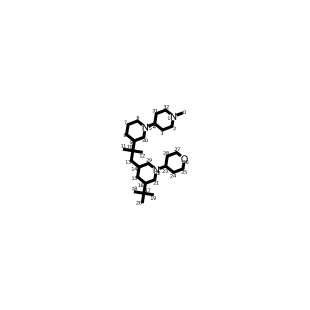 CN1CCC(N2CCCC(C(C)(C)CC3CC(C(C)(C)C)CN(C4CCOCC4)C3)C2)CC1